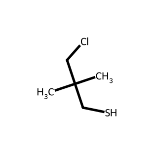 CC(C)(CS)CCl